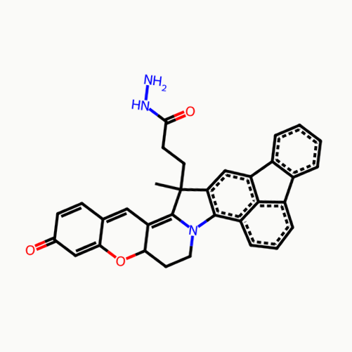 CC1(CCC(=O)NN)C2=C3C=C4C=CC(=O)C=C4OC3CCN2c2c1cc1c3c(cccc23)-c2ccccc2-1